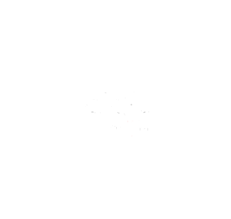 CCCC(=O)OC(CCC)c1cccc2ccc3c4ccc5ccccc5c4ccc3c12